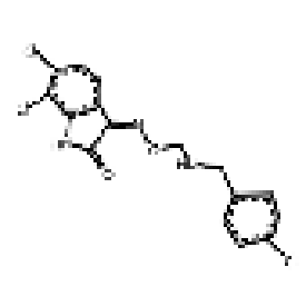 O=C1Nc2c(ccc(Cl)c2Cl)C1=NOCNCc1ccc(Cl)cc1